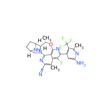 Cc1nc(N)cc(-c2nc3c4c(nc(C#N)c(C)c4c2F)N2C[C@H]4CC[C@H](N4)[C@H]2[C@H](C)O3)c1C(F)(F)F